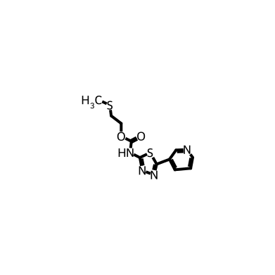 CSCCOC(=O)Nc1nnc(-c2cccnc2)s1